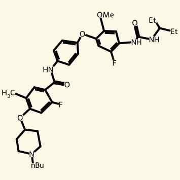 CCCCN1CCC(Oc2cc(F)c(C(=O)Nc3ccc(Oc4cc(F)c(NC(=O)NC(CC)CC)cc4OC)cc3)cc2C)CC1